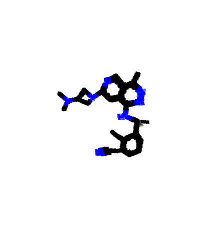 Cc1c(C#N)cccc1[C@@H](C)Nc1nnc(C)c2cnc(N3CC(N(C)C)C3)cc12